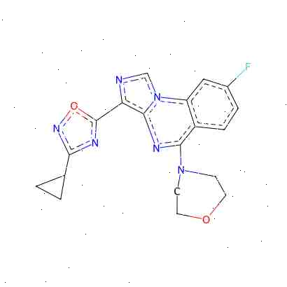 Fc1ccc2c(N3CCOCC3)nc3c(-c4nc(C5CC5)no4)ncn3c2c1